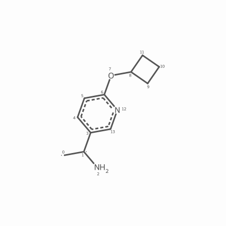 [CH2][C](N)c1ccc(OC2CCC2)nc1